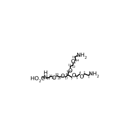 NCCOCCOCC(COCCOCCN)COCCOCCNC(=O)O